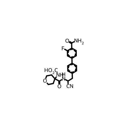 N#CC(Cc1ccc(-c2ccc(C(N)=O)c(F)c2)cc1)NC(=O)C1(NC(=O)O)CCOCC1